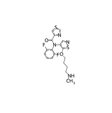 CNCCCCOc1sncc1N(C(=O)c1cscn1)c1c(F)cccc1F